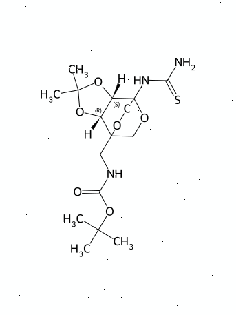 CC(C)(C)OC(=O)NCC12COC(NC(N)=S)(CO1)[C@H]1OC(C)(C)O[C@H]12